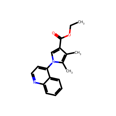 CCOC(=O)c1cn(-c2ccnc3ccccc23)c(C)c1C